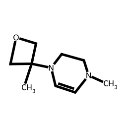 CN1C=CN(C2(C)COC2)CC1